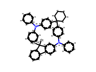 CCC1(CC)c2ccccc2-c2ccc(N(c3ccccc3)c3ccc(C4(c5ccc(N(c6ccccc6)c6ccccc6)cc5)CCCCC4)cc3)cc21